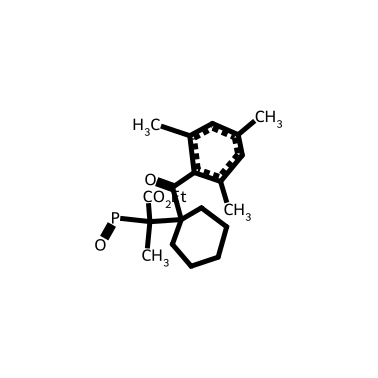 CCOC(=O)C(C)(P=O)C1(C(=O)c2c(C)cc(C)cc2C)CCCCC1